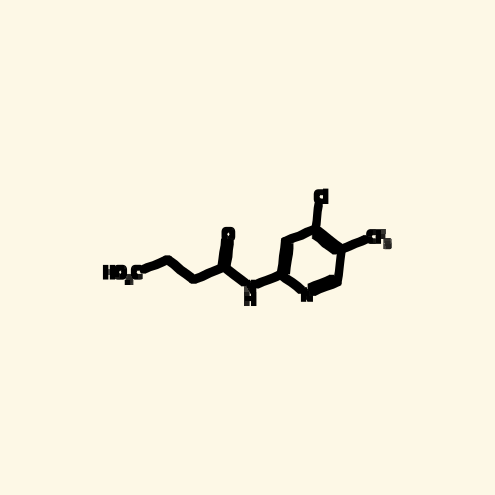 O=C(O)CCC(=O)Nc1cc(Cl)c(C(F)(F)F)cn1